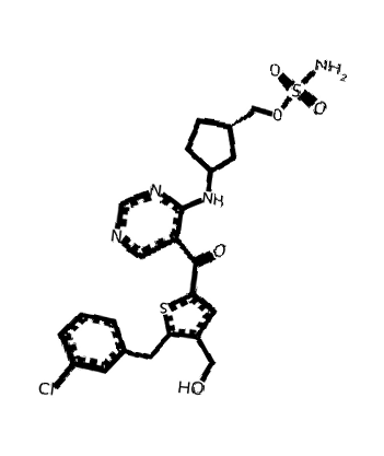 NS(=O)(=O)OC[C@@H]1CCC(Nc2ncncc2C(=O)c2cc(CO)c(Cc3cccc(Cl)c3)s2)C1